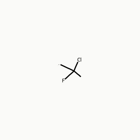 [CH2]C(C)(F)Cl